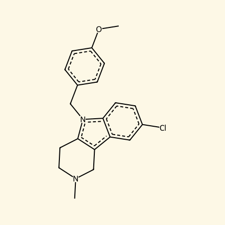 COc1ccc(Cn2c3c(c4cc(Cl)ccc42)CN(C)CC3)cc1